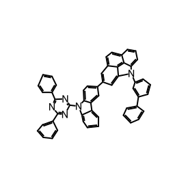 c1ccc(-c2cccc(-n3c4cccc5ccc6cc(-c7ccc8c(c7)c7ccccc7n8-c7nc(-c8ccccc8)nc(-c8ccccc8)n7)cc3c6c54)c2)cc1